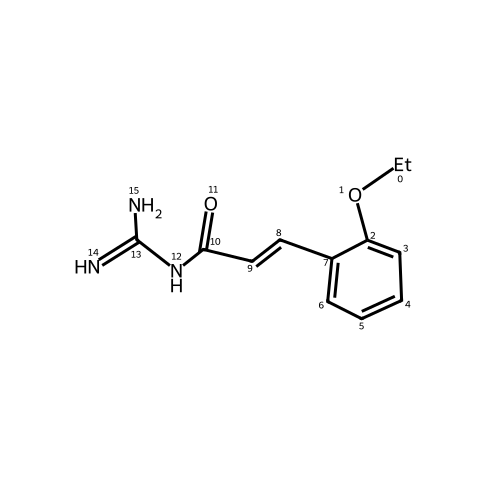 CCOc1ccccc1C=CC(=O)NC(=N)N